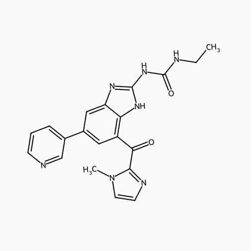 CCNC(=O)Nc1nc2cc(-c3cccnc3)cc(C(=O)c3nccn3C)c2[nH]1